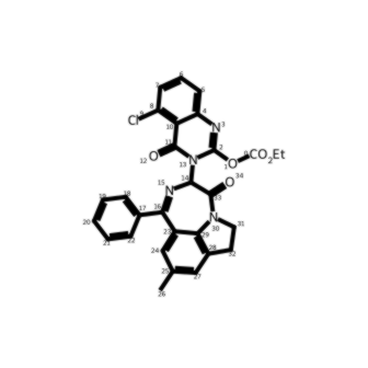 CCOC(=O)Oc1nc2cccc(Cl)c2c(=O)n1C1N=C(c2ccccc2)c2cc(C)cc3c2N(CC3)C1=O